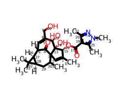 CC1=CC23C(=O)[C@@H](C=C(CO)[C@@H](O)[C@]2(O)[C@H]1OC(=O)c1c(C)nn(C)c1C)[C@H]1[C@@H](CC3C)C1(C)C